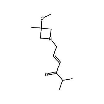 COC1(C)CN(C/C=C/C(=O)C(C)C)C1